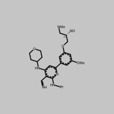 CNC[C@@H](COc1cc(OC)cc(-c2cc(NC3CCOCC3)c(C=N)c(NC(C)C)n2)c1)N=O